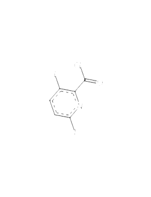 O=C(Cl)c1nc(I)ccc1I